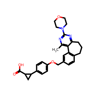 Cc1nc(N2CCOCC2)nc2c1-c1cc(COc3ccc(C4CC4C(=O)O)cc3)ccc1CCC2